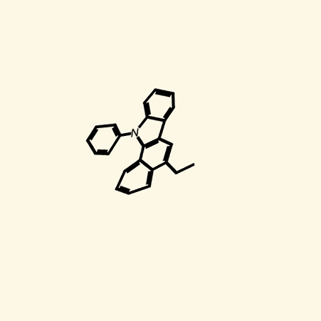 CCc1cc2c3ccccc3n(-c3ccccc3)c2c2ccccc12